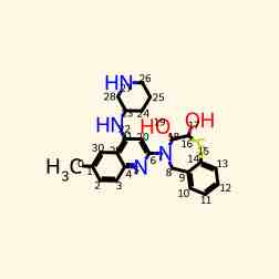 Cc1ccc2nc(N3Cc4ccccc4SC(O)C3O)cc(NC3CCCNC3)c2c1